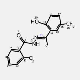 C/C(=N\NC(=O)c1ccccc1Cl)c1cc(C(F)(F)F)ccc1O